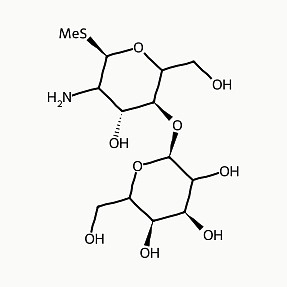 CS[C@H]1OC(CO)[C@@H](O[C@@H]2OC(CO)[C@H](O)[C@H](O)C2O)[C@H](O)C1N